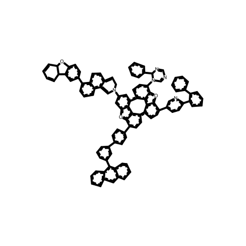 C1=CC2Oc3ccc(-c4cccc5c6c(ccc45)=CCN(c4cc5oc7c(-c8ccc(-c9cccc(-c%10c%11ccccc%11cc%11ccccc%10%11)c9)cc8)ccc8c9ccc(-c%10ccc(-c%11ccccc%11-c%11ccccc%11)nc%10)c%10oc%11c(N%12C=NC=NC%12c%12ccccc%12)ccc(c(c4)c5c78)c%11c%109)C=6)cc3C2C=C1